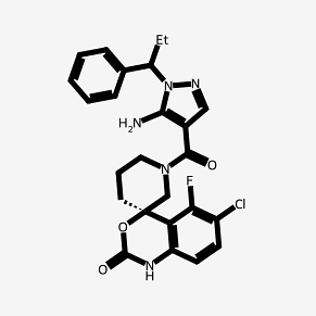 CCC(c1ccccc1)n1ncc(C(=O)N2CCC[C@@]3(C2)OC(=O)Nc2ccc(Cl)c(F)c23)c1N